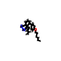 CCCCCCOc1ccc(C2=CC=CC(C#N)C2(C#N)CCCC)cc1